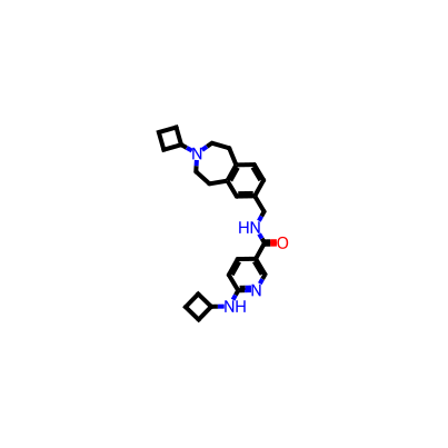 O=C(NCc1ccc2c(c1)CCN(C1CCC1)CC2)c1ccc(NC2CCC2)nc1